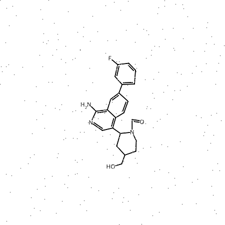 Nc1ncc(C2CC(CO)CCN2C=O)c2ccc(-c3cccc(F)c3)cc12